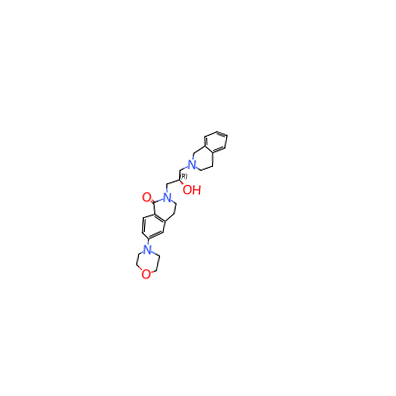 O=C1c2ccc(N3CCOCC3)cc2CCN1C[C@H](O)CN1CCc2ccccc2C1